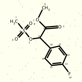 COC(=O)C(OS(C)(=O)=O)c1ccc(F)cc1